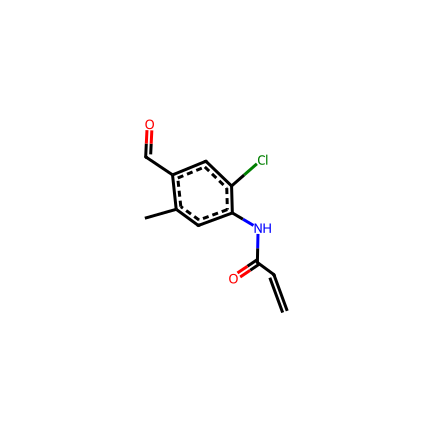 C=CC(=O)Nc1cc(C)c(C=O)cc1Cl